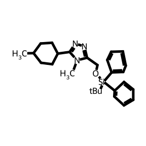 CC1CCC(c2nnc(CO[Si](c3ccccc3)(c3ccccc3)C(C)(C)C)n2C)CC1